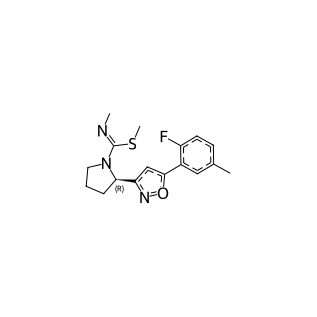 CN=C(SC)N1CCC[C@@H]1c1cc(-c2cc(C)ccc2F)on1